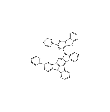 c1ccc(-c2ccc3c(c2)c2cc4c(c5ccccc5n4-c4nc(-c5ccccc5)nc5c4sc4ccccc45)c4c5ccccc5n3c24)cc1